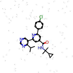 CC(C)c1ncncc1-c1cc(C(=O)NC(C)(C)C2CC2)cc(-c2ccc(Cl)cc2)n1